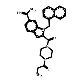 N=C(N)c1ccc2cc(C(=O)N3CCN(C(=O)CN)CC3)n(Cc3cccc4ccccc34)c2c1